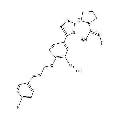 Cl.[H]/N=C(\N)N1CCC[C@H]1c1nc(-c2ccc(OCC=Cc3ccc(F)cc3)c(C(F)(F)F)c2)no1